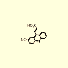 N#Cc1ccc2nc3ccccc3c(C=CC(=O)O)c2c1